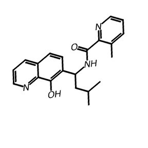 Cc1cccnc1C(=O)NC(CC(C)C)c1ccc2cccnc2c1O